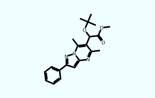 COC(=O)C(OC(C)(C)C)c1c(C)nc2cc(-c3ccccc3)nn2c1C